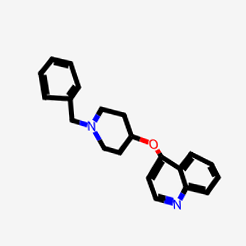 c1ccc(CN2CCC(Oc3ccnc4ccccc34)CC2)cc1